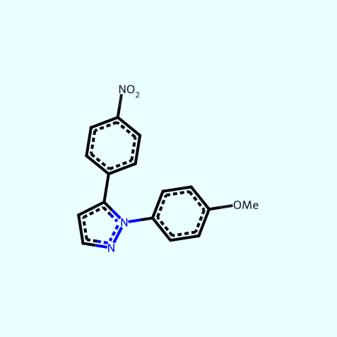 COc1ccc(-n2nccc2-c2ccc([N+](=O)[O-])cc2)cc1